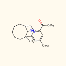 COC(=O)c1cc(OC)cc2c1CC1CCCCCC2(C)C1N